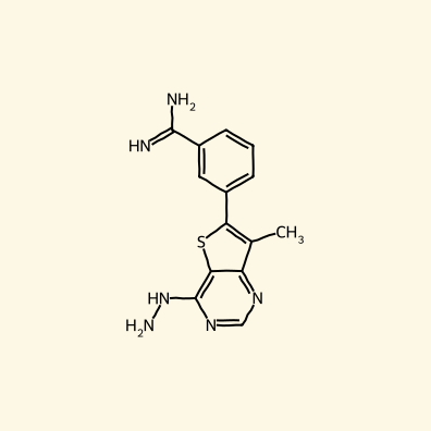 Cc1c(-c2cccc(C(=N)N)c2)sc2c(NN)ncnc12